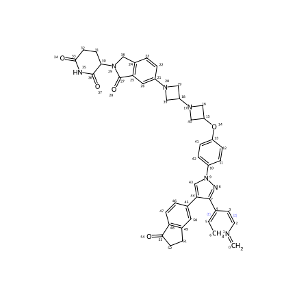 C=N/C=C\C(=C/C)c1nn(-c2ccc(OC3CN(C4CN(c5ccc6c(c5)C(=O)N(C5CCC(=O)NC5=O)C6)C4)C3)cc2)cc1-c1ccc2c(c1)CCC2=O